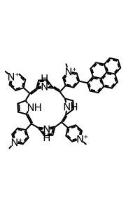 C[n+]1ccc(/C2=C3\C=CC(N3)/C(c3cc[n+](C)cc3)=c3/cc/c([nH]3)=C(\c3cc(-c4ccc5ccc6cccc7ccc4c5c67)c[n+](C)c3)C3C=C/C(=C(\c4cc[n+](C)cc4)c4ccc2[nH]4)N3)cc1